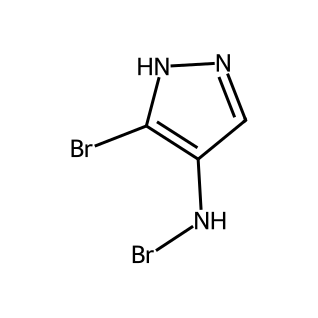 BrNc1cn[nH]c1Br